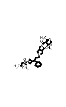 Cc1ncnc(C)c1C(=O)N1CC2CN(CCC(c3ccccc3)C3CN(S(=O)(=O)CC(C)C)C3)CC2C1